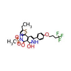 CCc1ccc(C2=C(C(=O)NS(C)(=O)=O)C(O)NC(c3ccc(OCCCC(F)(F)F)cc3)=C2)s1